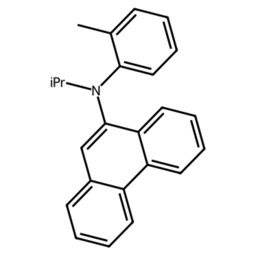 Cc1ccccc1N(c1cc2ccccc2c2ccccc12)C(C)C